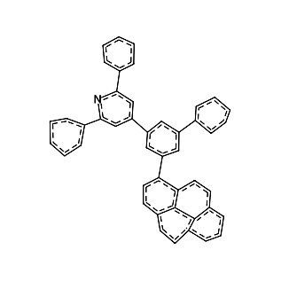 c1ccc(-c2cc(-c3cc(-c4ccccc4)nc(-c4ccccc4)c3)cc(-c3ccc4ccc5cccc6ccc3c4c56)c2)cc1